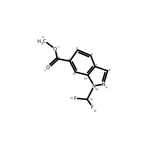 COC(=O)c1ccc2cnn(C(F)F)c2c1